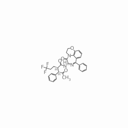 CC(=O)[C@@H](c1ccccc1)[C@@H](CCC(F)(F)F)C(=O)N[C@H]1N=C(c2ccccc2)c2cccc3c2N(CCO3)C1=O